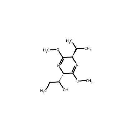 CCC(O)[C@@H]1N=C(OC)[C@@H](C(C)C)N=C1OC